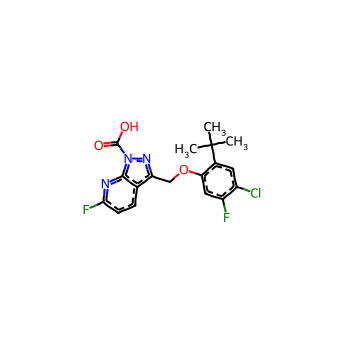 CC(C)(C)c1cc(Cl)c(F)cc1OCc1nn(C(=O)O)c2nc(F)ccc12